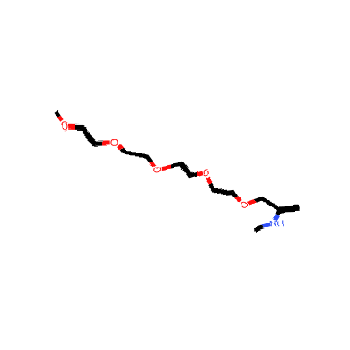 C=C(COCCOCCOCCOCCOC)NC